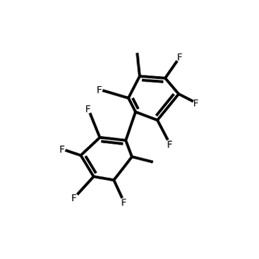 Cc1c(F)c(F)c(F)c(C2=C(F)C(F)=C(F)C(F)C2C)c1F